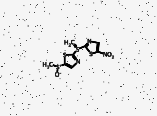 C=S(c1ncc([N+](=O)[O-])s1)c1ncc([S+](C)[O-])s1